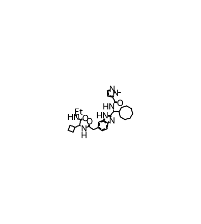 CCNC(=O)[C@H](NC(=O)Cc1ccc2nc([C@@H](NC(=O)c3ccnn3C)C3CCCCCCC3)[nH]c2c1)C1CCC1